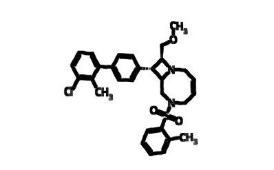 COC[C@@H]1[C@@H](c2ccc(-c3cccc(Cl)c3C)cc2)C2CN(S(=O)(=O)c3ccccc3C)C/C=C\CN21